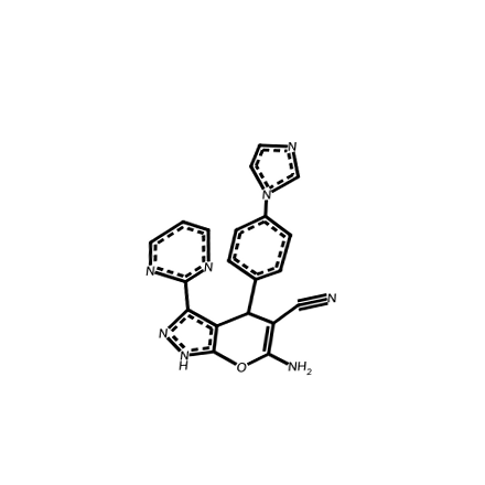 N#CC1=C(N)Oc2[nH]nc(-c3ncccn3)c2C1c1ccc(-n2ccnc2)cc1